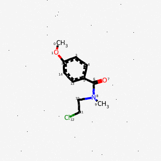 COc1ccc(C(=O)N(C)CCCl)cc1